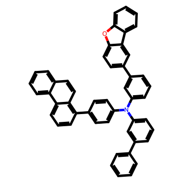 c1ccc(-c2cccc(N(c3ccc(-c4cccc5c4ccc4ccccc45)cc3)c3cccc(-c4ccc5oc6ccccc6c5c4)c3)c2)cc1